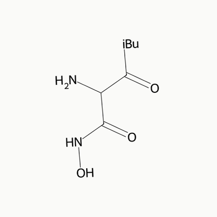 CCC(C)C(=O)C(N)C(=O)NO